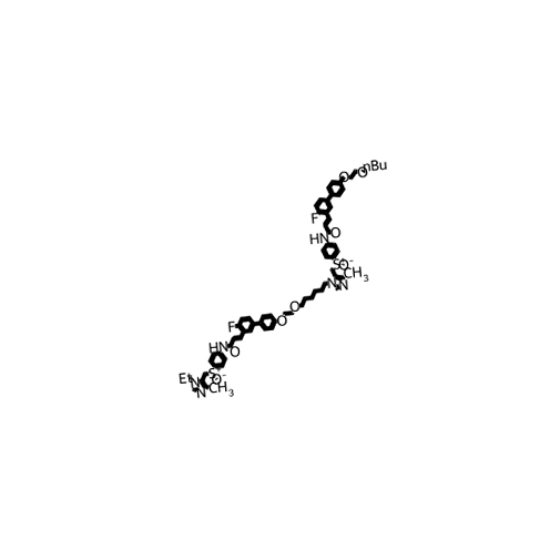 CCCCOCCOc1ccc(-c2ccc(F)c(/C=C/C(=O)Nc3ccc([S@+]([O-])Cc4c(C)ncn4CCCCCCOCCOc4ccc(-c5ccc(F)c(/C=C/C(=O)Nc6ccc([S@@+]([O-])Cc7c(C)ncn7CC)cc6)c5)cc4)cc3)c2)cc1